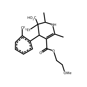 CCC1(C(=O)O)C(C)NC(C)=C(C(=O)OCCOC)C1c1ccccc1C(F)(F)F